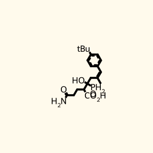 CC(=Cc1ccc(C(C)(C)C)cc1)CC(O)([PH2]=O)C(CCC(N)=O)C(=O)O